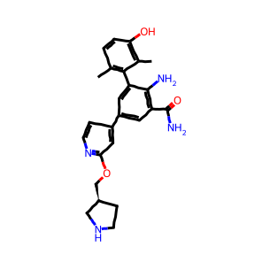 Cc1ccc(O)c(C)c1-c1cc(-c2ccnc(OC[C@H]3CCNC3)c2)cc(C(N)=O)c1N